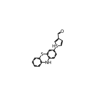 O=CC1=C[SH](c2ccc3c(c2)Sc2ccccc2N3)C=C1